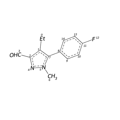 CCc1c(C=O)nn(C)c1-c1ccc(F)cc1